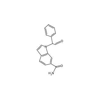 NC(=O)c1ccc2ccn(C(C=O)c3ccccc3)c2c1